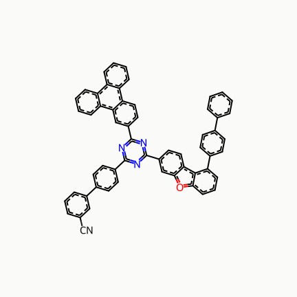 N#Cc1cccc(-c2ccc(-c3nc(-c4ccc5c(c4)oc4cccc(-c6ccc(-c7ccccc7)cc6)c45)nc(-c4ccc5c6ccccc6c6ccccc6c5c4)n3)cc2)c1